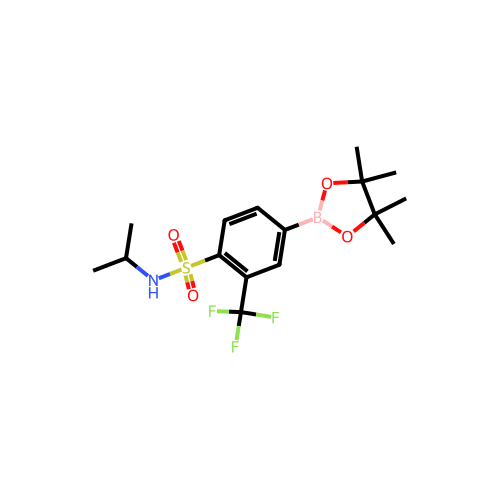 CC(C)NS(=O)(=O)c1ccc(B2OC(C)(C)C(C)(C)O2)cc1C(F)(F)F